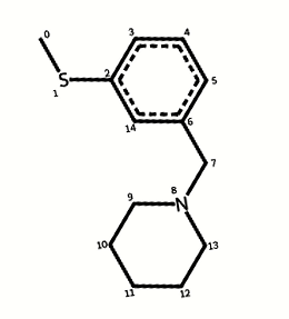 CSc1cccc(CN2CCCCC2)c1